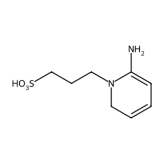 NC1=CC=CCN1CCCS(=O)(=O)O